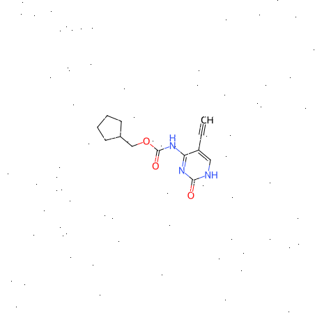 C#Cc1c[nH]c(=O)nc1NC(=O)OCC1CCCC1